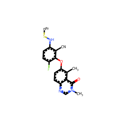 CCCSNc1ccc(F)c(Oc2ccc3ncn(C)c(=O)c3c2C)c1C#N